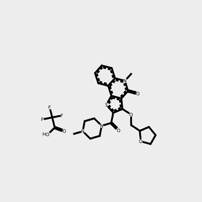 CN1CCN(C(=O)c2sc3c(c2OCC2CCCO2)c(=O)n(C)c2ccccc32)CC1.O=C(O)C(F)(F)F